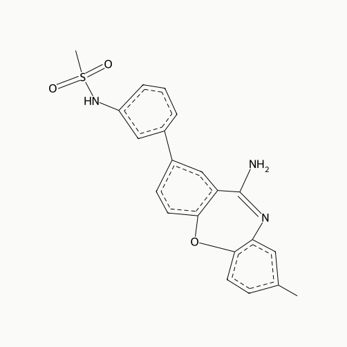 Cc1ccc2c(c1)N=C(N)c1cc(-c3cccc(NS(C)(=O)=O)c3)ccc1O2